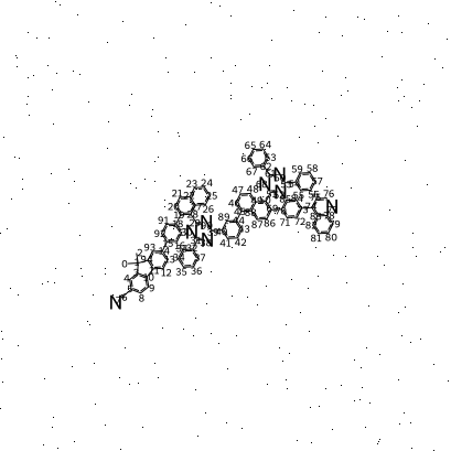 CC1(C)c2cc(C#N)ccc2-c2ccc(-c3ccc(-c4ccc5ccccc5c4-c4nc(-c5ccccc5)nc(-c5cccc(-c6cccc7c(-c8nc(-c9ccccc9)nc(-c9ccccc9)n8)c(-c8ccc(-c9ccnc%10ccccc9%10)cc8)ccc67)c5)n4)cc3)cc21